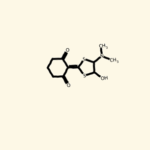 CN(C)C1SC(=C2C(=O)CCCC2=O)SC1O